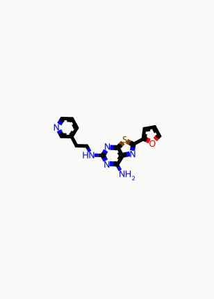 Nc1nc(NCCc2cccnc2)nc2sc(-c3ccco3)nc12